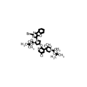 C[C@H]1CN(C(=O)OC(C)(C)C)CC[C@]1(F)c1cc(Cl)cnc1O[C@H]1C[C@@H](C(=O)OC(C)(C)C)N(c2nc(Br)nc3c2oc2ccccc23)C1